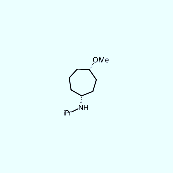 CO[C@H]1CCC[C@@H](NC(C)C)CC1